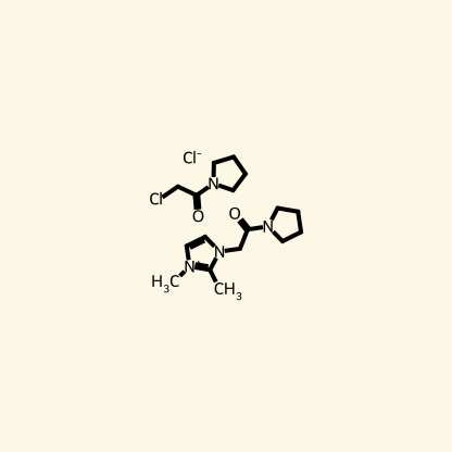 Cc1n(CC(=O)N2CCCC2)cc[n+]1C.O=C(CCl)N1CCCC1.[Cl-]